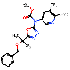 COc1ncc(N(C(=O)OC(C)(C)C)c2nnc(C(C)(OCc3ccccc3)C(F)(F)F)o2)cc1C(F)(F)F